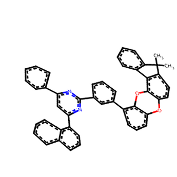 CC1(C)c2ccccc2-c2c1ccc1c2Oc2c(cccc2-c2cccc(-c3nc(-c4ccccc4)cc(-c4cccc5ccccc45)n3)c2)O1